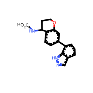 O=C(O)NC1CCOc2cc(-c3cccc4cn[nH]c34)ccc21